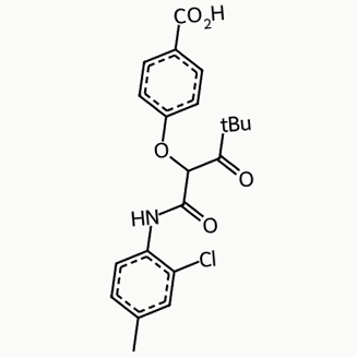 Cc1ccc(NC(=O)C(Oc2ccc(C(=O)O)cc2)C(=O)C(C)(C)C)c(Cl)c1